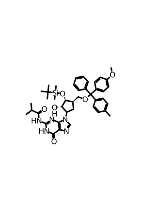 COc1ccc(C(OC[C@H]2C[C@@H](n3cnc4c(=O)[nH]c(NC(=O)C(C)C)nc43)[C@H](O)[C@@H]2O[Si](C)(C)C(C)(C)C)(c2ccccc2)c2ccc(C)cc2)cc1